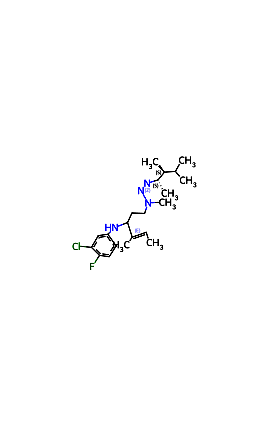 C/C=C(\C)C(CCN(C)/N=N\[C@@H](C)[C@@H](C)C(C)C)Nc1ccc(F)c(Cl)c1